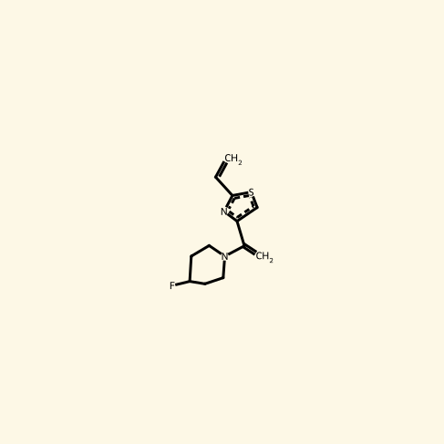 C=Cc1nc(C(=C)N2CCC(F)CC2)cs1